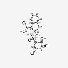 O=C(O)c1c(NS(=O)(=O)c2cc(Cl)cc(Cl)c2O)ccc2ccccc12